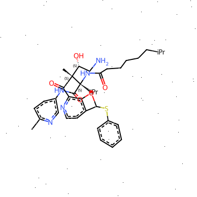 Cc1ccc(NC(=O)[C@](NC(=O)CCCCCC(C)C)(C(C)C)[C@](C)(C(=O)c2nccc3c2OC3Sc2ccccc2)[C@H](O)CN)cn1